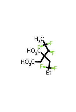 CCC(F)(F)CC(CC(=O)O)(C(=O)O)C(F)C(C)(F)F